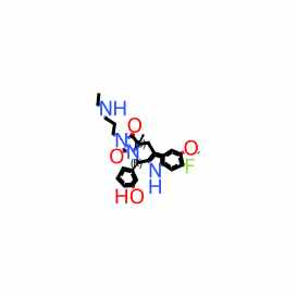 CCNCCCN1C(=O)N2[C@H](c3cccc(O)c3)c3[nH]c4cc(F)c(OC)cc4c3C[C@@]2(C)C1=O